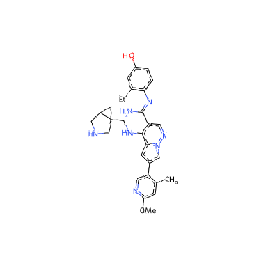 CCc1cc(O)ccc1/N=C(\N)c1cnn2cc(-c3cnc(OC)cc3C)cc2c1NCC12CNCC1C2